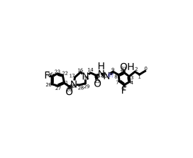 CCCc1cc(F)cc(/C=N/NC(=O)CN2CCN(C(=O)c3ccc(F)cc3)CC2)c1O